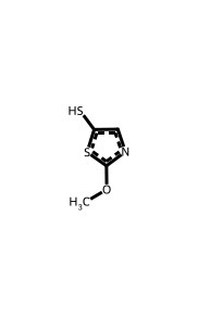 COc1ncc(S)s1